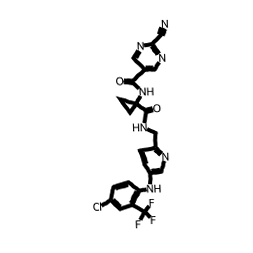 N#Cc1ncc(C(=O)NC2(C(=O)NCc3ccc(Nc4ccc(Cl)cc4C(F)(F)F)cn3)CC2)cn1